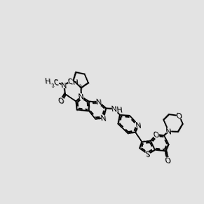 CN(C)C(=O)c1cc2cnc(Nc3ccc(-c4csc5c(=O)cc(N6CCOCC6)oc45)nc3)nc2n1C1CCCC1